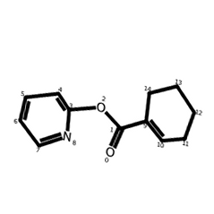 O=C(Oc1ccccn1)C1=CCCCC1